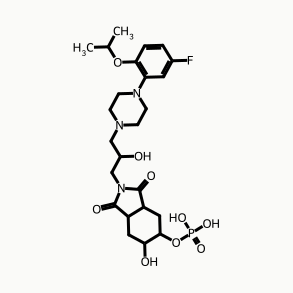 CC(C)Oc1ccc(F)cc1N1CCN(CC(O)CN2C(=O)C3CC(O)C(OP(=O)(O)O)CC3C2=O)CC1